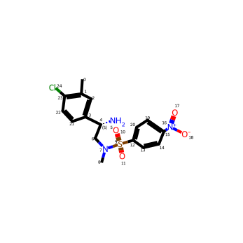 Cc1cc([C@H](N)CN(C)S(=O)(=O)c2ccc([N+](=O)[O-])cc2)ccc1Cl